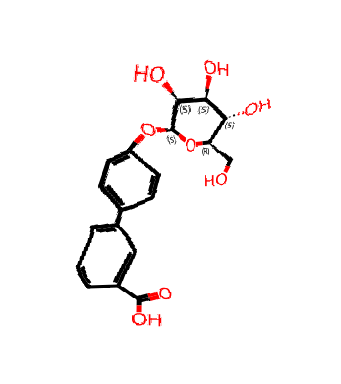 O=C(O)c1cccc(-c2ccc(O[C@@H]3O[C@H](CO)[C@@H](O)[C@H](O)[C@@H]3O)cc2)c1